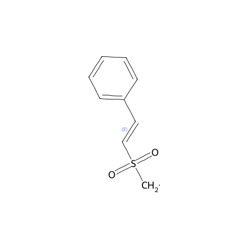 [CH2]S(=O)(=O)/C=C/c1ccccc1